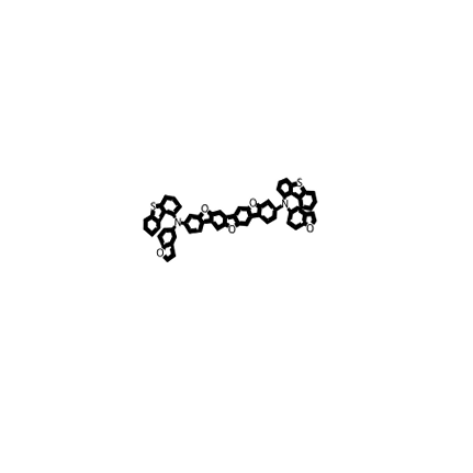 c1ccc2c(c1)sc1cccc(N(c3ccc4occc4c3)c3ccc4c(c3)oc3cc5c(cc34)oc3cc4c(cc35)oc3cc(N(c5ccc6occc6c5)c5cccc6sc7ccccc7c56)ccc34)c12